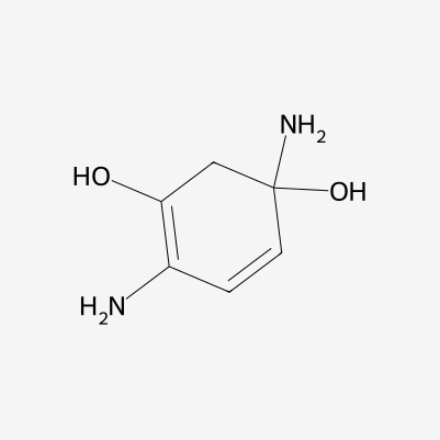 NC1=C(O)CC(N)(O)C=C1